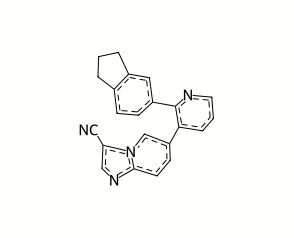 N#Cc1cnc2ccc(-c3cccnc3-c3ccc4c(c3)CCC4)cn12